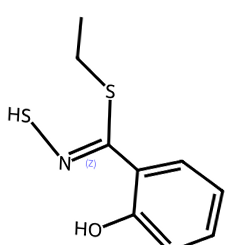 CCS/C(=N\S)c1ccccc1O